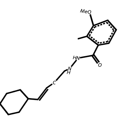 COc1cccc(C(=O)NNCCC=CC2CCCCC2)c1C